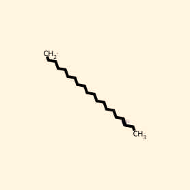 [CH2]CCCCCCCCCCCCCCC/C=C/CC